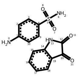 Nc1ccc(S(N)(=O)=O)cc1.O=C1Nc2ccccc2C1=O